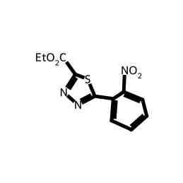 CCOC(=O)c1nnc(-c2ccccc2[N+](=O)[O-])s1